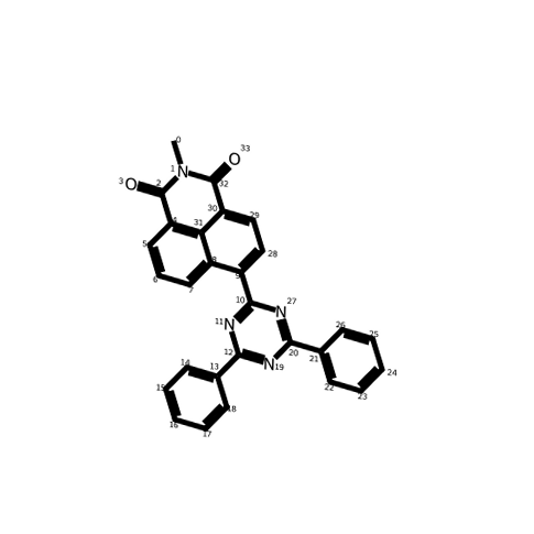 CN1C(=O)c2cccc3c(-c4nc(-c5ccccc5)nc(-c5ccccc5)n4)ccc(c23)C1=O